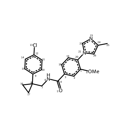 COc1cc(C(=O)NCC2(c3ccc(Cl)cc3)CC2)ccc1-n1cnc(C)c1